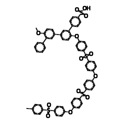 COc1ccc(-c2ccc(Oc3ccc(S(=O)(=O)c4ccc(Oc5ccc(S(=O)(=O)c6ccc(Oc7ccc(S(=O)(=O)c8ccc(C)cc8)cc7)cc6)cc5)cc4)cc3)c(-c3ccc(S(=O)(=O)O)cc3)c2)cc1-c1ccccc1